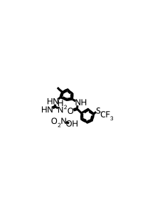 Cc1ccc(NC(=O)c2cccc(SC(F)(F)F)c2)cc1NC(=N)N.O=[N+]([O-])O